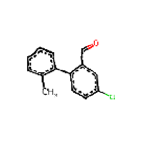 Cc1ccccc1-c1ccc(Cl)cc1C=O